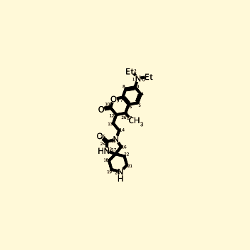 CCN(CC)c1ccc2c(c1)OC(=O)C(CCN1CC3(CCNCC3)NC1=O)C2C